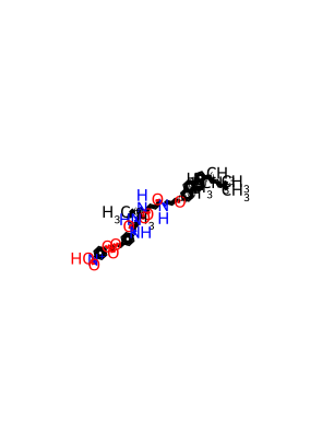 CC(C)CCC[C@@H](C)C1CC[C@H]2[C@@H]3CC=C4C[C@@H](OCCCNC(=O)CCC(=O)N[C@@H](CC(C)C)C(=O)NCC(=O)Nc5ccc(COC(=O)Oc6ccc([N+](=O)O)cc6)cc5)CC[C@]4(C)[C@H]3CC[C@]12C